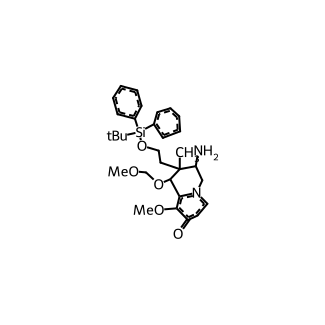 COCOC1c2c(OC)c(=O)ccn2CC(N)C1(C)CCO[Si](c1ccccc1)(c1ccccc1)C(C)(C)C